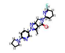 Cc1c2c(nn1-c1ccc(N3CCCC3)nc1)CN(C1=CCCC(F)=N1)C2=O